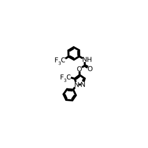 O=C(Nc1cccc(C(F)(F)F)c1)Oc1cnn(-c2ccccc2)c1C(F)(F)F